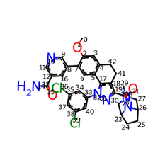 COc1cc2c(cc1-c1cncc(C(N)=O)c1)-c1c(c(C(=O)N3C4CCC3CN(C)C4)nn1-c1cc(Cl)cc(Cl)c1)CC2